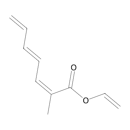 C=CC=CC=C(C)C(=O)OC=C